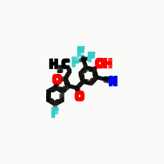 CCc1oc2ccc(F)cc2c1C(=O)c1cc(C#N)c(O)c(C(F)(F)F)c1